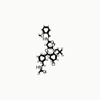 COc1ccccc1CNC(=O)CC1OC(c2cccc(CNC(C)=O)c2)c2cc(Cl)ccc2N(CC(C)(C)C)C1=O